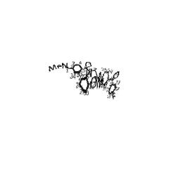 CNCc1ccc(C(=O)N(CCN2CCC(C(=O)c3ccc(F)cc3)CC2)c2ccccc2OC)cc1